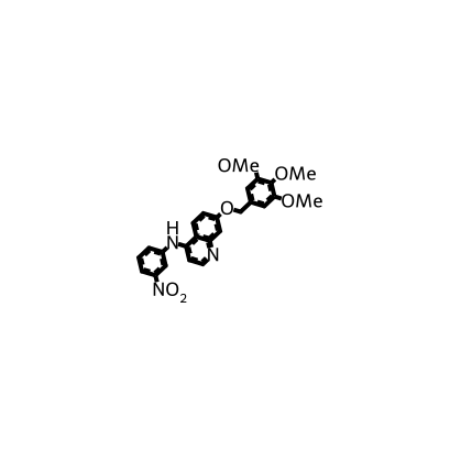 COc1cc(COc2ccc3c(Nc4cccc([N+](=O)[O-])c4)ccnc3c2)cc(OC)c1OC